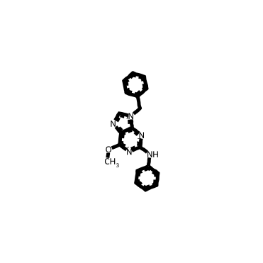 COc1nc(Nc2ccccc2)nc2c1ncn2Cc1ccccc1